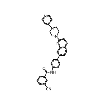 N#Cc1cccc(C(=O)Nc2ccc(-c3ccc4ncc(N5CCN(c6ccncc6)CC5)nc4c3)cc2)c1